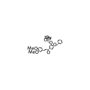 COc1ccc(/C=C/C(=O)c2ccc(OCc3ccccc3)c(OCC(=O)OC(C)(C)C)c2)cc1OC